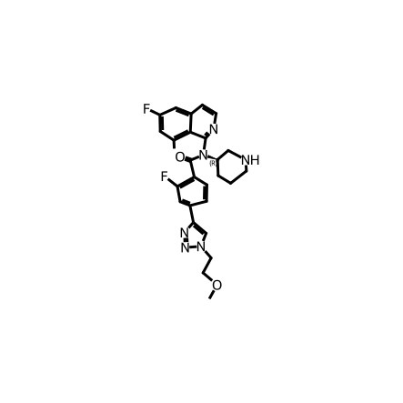 COCCn1cc(-c2ccc(C(=O)N(c3nccc4cc(F)cc(C)c34)[C@@H]3CCCNC3)c(F)c2)nn1